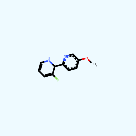 COc1ccc(C2NC=CC=C2F)nc1